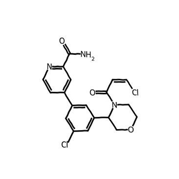 NC(=O)c1cc(-c2cc(Cl)cc(C3COCCN3C(=O)/C=C\Cl)c2)ccn1